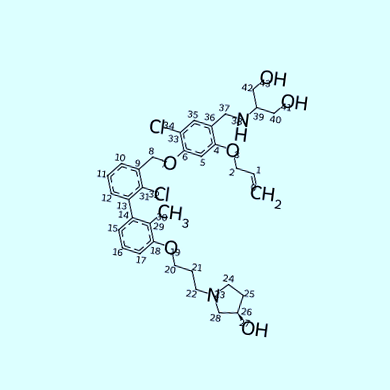 C=CCOc1cc(OCc2cccc(-c3cccc(OCCCN4CC[C@@H](O)C4)c3C)c2Cl)c(Cl)cc1CNC(CO)CO